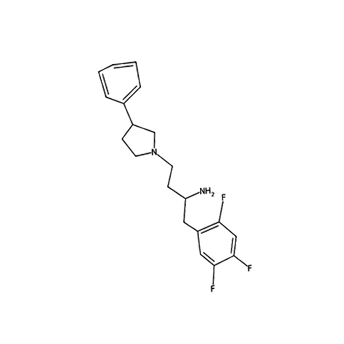 NC(CCN1CCC(c2ccccc2)C1)Cc1cc(F)c(F)cc1F